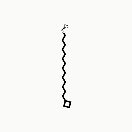 CCSCCCCCCCCCCCCCCC1CCC1